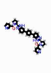 O=C(c1cccnc1)N1CCC[C@H]1c1nc2ccc(-c3ccc(-c4ccc5nc([C@@H]6CCCN6C(=O)c6cccnc6)[nH]c5c4)cc3)cc2[nH]1